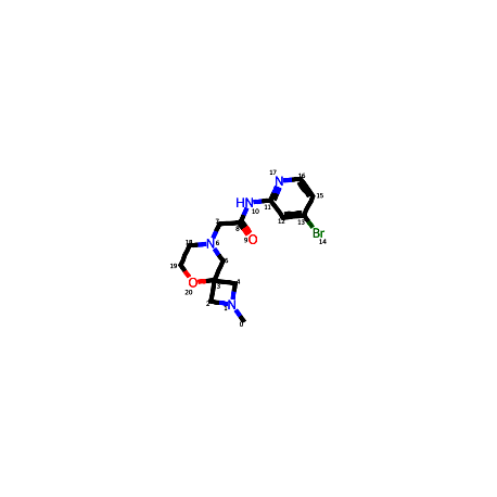 CN1CC2(C1)CN(CC(=O)Nc1cc(Br)ccn1)CCO2